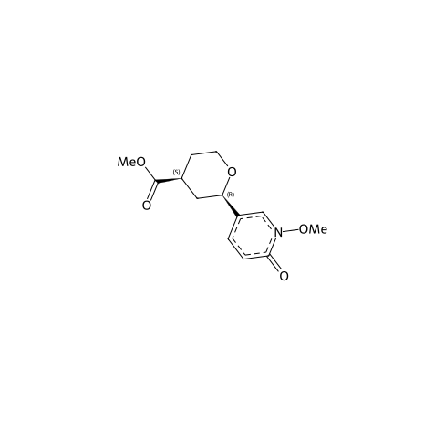 COC(=O)[C@H]1CCO[C@@H](c2ccc(=O)n(OC)c2)C1